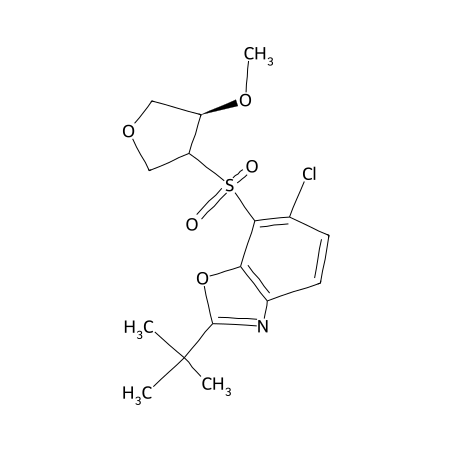 CO[C@@H]1COCC1S(=O)(=O)c1c(Cl)ccc2nc(C(C)(C)C)oc12